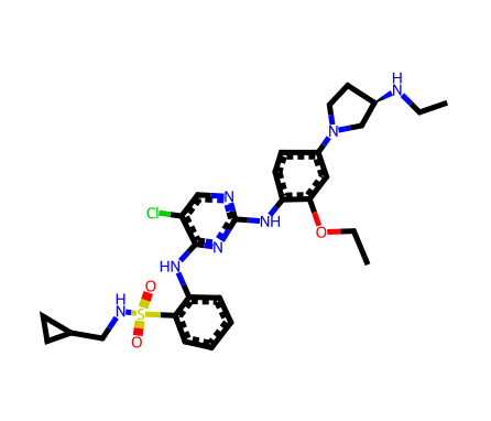 CCN[C@@H]1CCN(c2ccc(Nc3ncc(Cl)c(Nc4ccccc4S(=O)(=O)NCC4CC4)n3)c(OCC)c2)C1